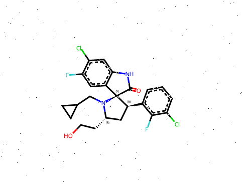 O=C1Nc2cc(Cl)c(F)cc2[C@@]12[C@@H](c1cccc(Cl)c1F)C[C@H](CCO)N2CC1CC1